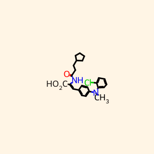 CN(c1ccc(C=C(NC(=O)CCC2CCCC2)C(=O)O)cc1)c1ccccc1Cl